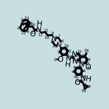 COc1cc(N2CCN(CCCCNC(=O)CC34CC5CC(CC(C5)C3)C4)CC2)ccc1Nc1ncc2c(C)cc(=O)n(-c3cccc(NC(=O)C4CC4)c3)c2n1